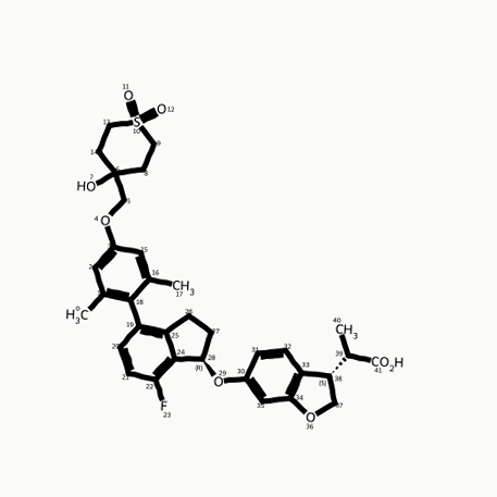 Cc1cc(OCC2(O)CCS(=O)(=O)CC2)cc(C)c1-c1ccc(F)c2c1CC[C@H]2Oc1ccc2c(c1)OC[C@H]2C(C)C(=O)O